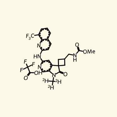 O=C(O)C(F)(F)F.[2H]C([2H])([2H])N1C(=O)C2(CC(CNC(=O)OC)C2)c2cc(Nc3ccc4cccc(C(F)(F)F)c4n3)ncc21